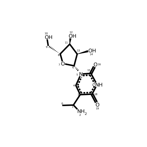 CC(N)c1cn([C@@H]2O[C@H](CO)[C@@H](O)[C@H]2O)c(=O)[nH]c1=O